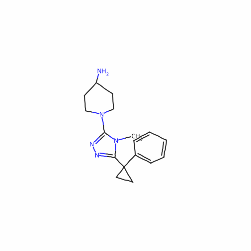 Cn1c(N2CCC(N)CC2)nnc1C1(c2ccccc2)CC1